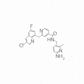 Cc1nc(N)ccc1CNC(=O)c1ccnc(Cc2cc(F)cc3cc(Cl)cnc23)c1